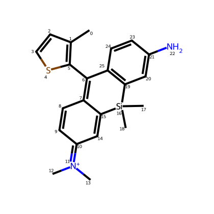 Cc1ccsc1C1=C2C=CC(=[N+](C)C)C=C2[Si](C)(C)c2cc(N)ccc21